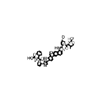 COC[C@H]1C[C@@H](c2nc3ccc4cc5c(cc4c3[nH]2)OCc2cc(-c3cnc([C@@H]4CCCN4C(=O)[C@@H](c4ccccc4)N(C)C(=O)O)[nH]3)ccc2-5)N(C(=O)[C@@H](NC(=O)OC)C(C)C)C1